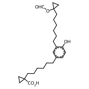 O=COC1(CCCCCCc2cc(CCCCCCC3(C(=O)O)CC3)ccc2O)CC1